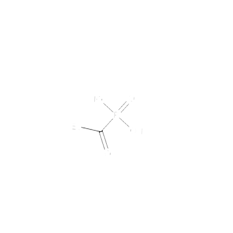 CCC(=O)P(=O)(O)O